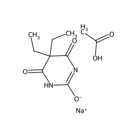 CC(=O)O.CCC1(CC)C(=O)N=C([O-])NC1=O.[Na+]